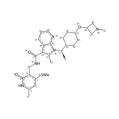 CSc1cc(C)[nH]c(=O)c1CNC(=O)c1c(C)n([C@H](C)C2CCC(OC3CN(C)C3)CC2)c2ncccc12